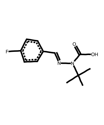 CC(C)(C)N(N=Cc1ccc(F)cc1)C(=O)O